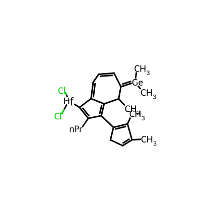 CCCC1=[C]([Hf]([Cl])[Cl])C2=CC=C[C](=[Ge]([CH3])[CH3])C(C)C2=C1C1=C(C)C(C)=CC1